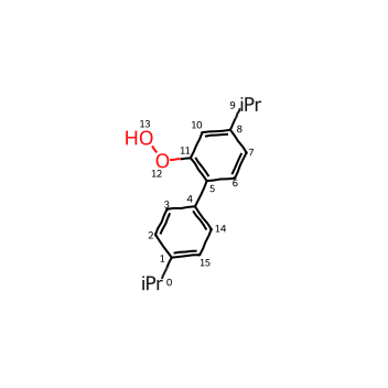 CC(C)c1ccc(-c2ccc(C(C)C)cc2OO)cc1